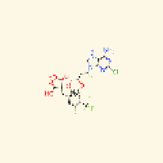 COC(COC(Cc1ccc(C(F)(F)F)c(F)c1)(C(=O)O)C(=O)O)CC(F)N1CNc2c(N)nc(Cl)nc21